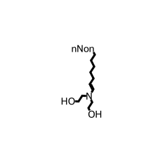 CCCCCCCCCCCCCCC=CN(CCO)CCO